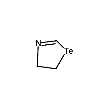 C1=NCC[Te]1